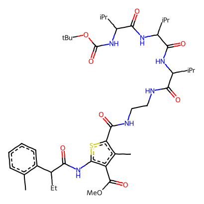 CCC(C(=O)Nc1sc(C(=O)NCCNC(=O)C(NC(=O)C(NC(=O)C(NC(=O)OC(C)(C)C)C(C)C)C(C)C)C(C)C)c(C)c1C(=O)OC)c1ccccc1C